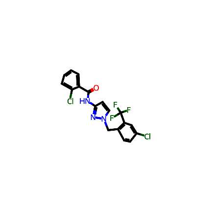 O=C(Nc1ccn(Cc2ccc(Cl)cc2C(F)(F)F)n1)c1ccccc1Cl